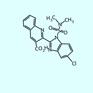 CN(C)S(=O)(=O)n1c(-c2nc3ccccc3cc2C(=O)O)nc2cc(Cl)ccc21